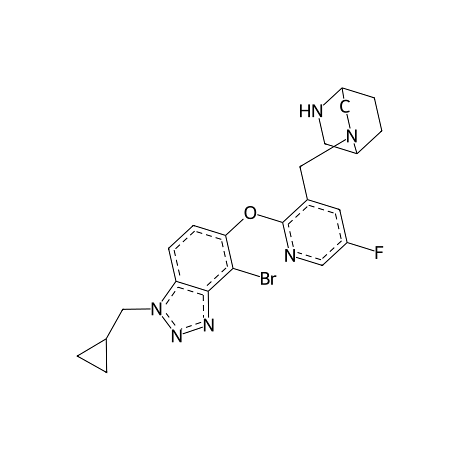 Fc1cnc(Oc2ccc3c(nnn3CC3CC3)c2Br)c(CN2CC3CCC2CN3)c1